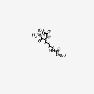 CC(C)(C)OC(=O)NCCCCC(NC(=O)OC(C)(C)C)C(=O)NN